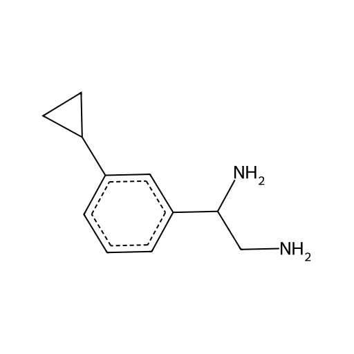 NCC(N)c1cccc(C2CC2)c1